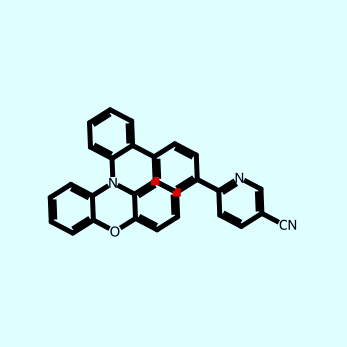 N#Cc1ccc(-c2ccc(-c3ccccc3N3c4ccccc4Oc4ccccc43)cc2)nc1